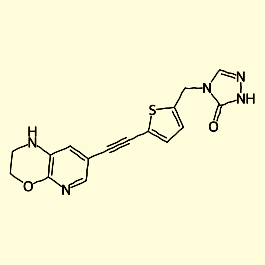 O=c1[nH]ncn1Cc1ccc(C#Cc2cnc3c(c2)NCCO3)s1